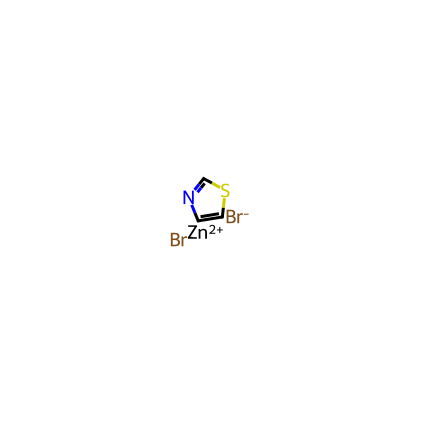 [Br-].[Br-].[Zn+2].c1cscn1